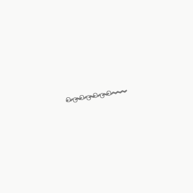 CCCCCCCCOCCOCCOCCOCCOCCOCCOC